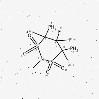 CN1S(=O)(=O)C(F)(P)C(F)(F)C(P)(I)S1(=O)=O